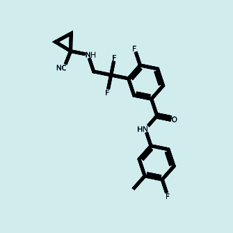 Cc1cc(NC(=O)c2ccc(F)c(C(F)(F)CNC3(C#N)CC3)c2)ccc1F